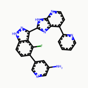 Nc1cncc(-c2ccc3[nH]nc(-c4nc5c(-c6ccccn6)ccnc5[nH]4)c3c2F)c1